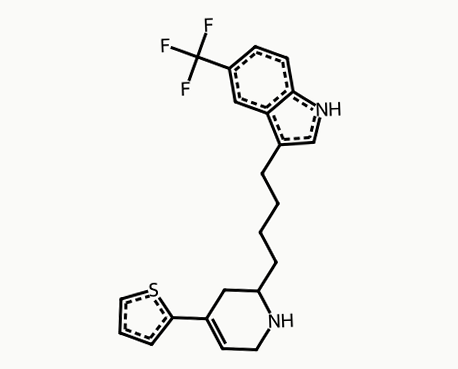 FC(F)(F)c1ccc2[nH]cc(CCCCC3CC(c4cccs4)=CCN3)c2c1